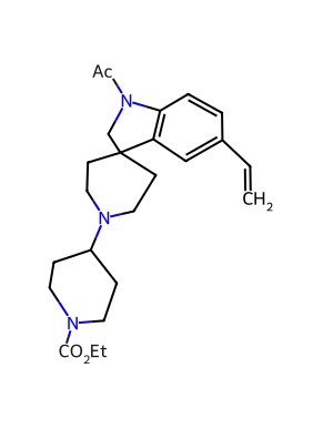 C=Cc1ccc2c(c1)C1(CCN(C3CCN(C(=O)OCC)CC3)CC1)CN2C(C)=O